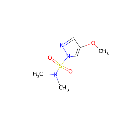 COc1cnn(S(=O)(=O)N(C)C)c1